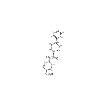 O=C(O)c1ccc(NC(=O)N2CCN(c3cnccn3)CC2)cc1